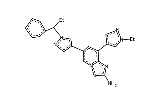 CCC(c1ccccc1)n1cc(-c2cc(-c3cnn(CC)c3)c3nc(N)nn3c2)cn1